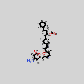 C/C(=C/[C@H](C)[C@@H](O)[C@@H](C)/C=C\CC[C@@H]1OC(=O)[C@H](C)[C@@H](N)[C@H]1C)C[C@H](C)[C@@H](C)[C@H](C)[C@@H](OC=O)[C@@H](C)Cc1ccccc1